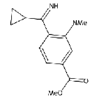 CNc1cc(C(=O)OC)ccc1C(=N)C1CC1